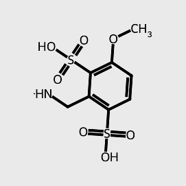 COc1ccc(S(=O)(=O)O)c(C[NH])c1S(=O)(=O)O